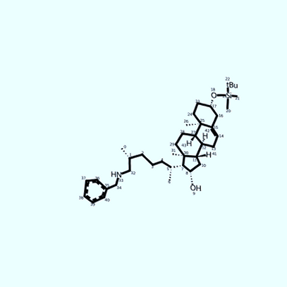 C[C@H](CCC[C@@H](C)[C@H]1[C@@H](O)C[C@H]2[C@@H]3CC=C4C[C@@H](O[Si](C)(C)C(C)(C)C)CC[C@]4(C)[C@H]3CC[C@]12C)CNCc1ccccc1